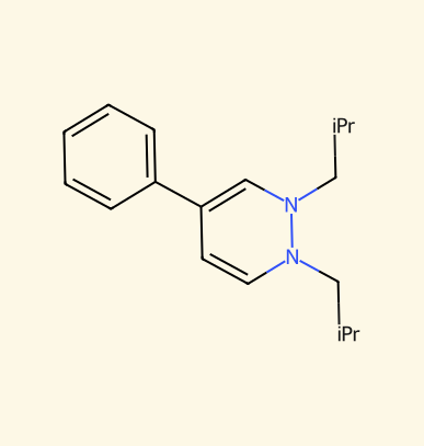 CC(C)CN1C=CC(c2ccccc2)=CN1CC(C)C